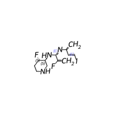 C=C(/C=C/I)/N=C(/N[C@H]1CNCC[C@@H]1F)C(=C)F